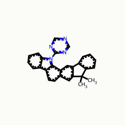 CC1(C)c2ccccc2-c2cc3c(ccc4c5ccccc5n(-c5ncncn5)c34)cc21